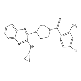 Cc1cc(Cl)ccc1C(=O)N1CCN(c2nc3ccccc3nc2NC2CC2)CC1